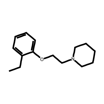 CCc1ccccc1OCCN1CCCCC1